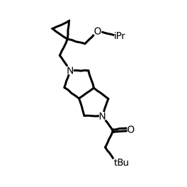 CC(C)OCC1(CN2CC3CN(C(=O)CC(C)(C)C)CC3C2)CC1